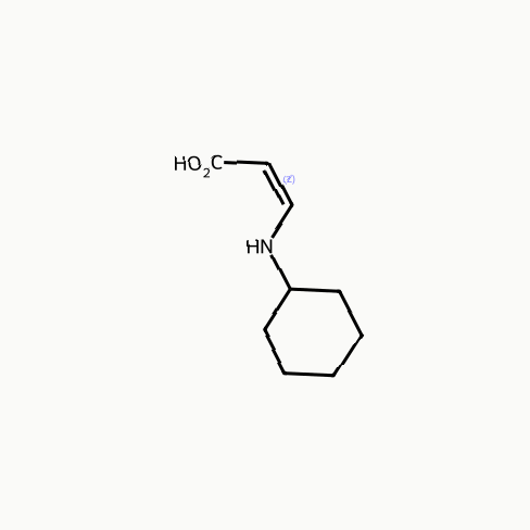 O=C(O)/C=C\NC1CCCCC1